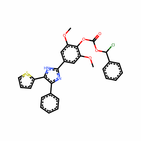 COc1cc(-c2nc(-c3ccccc3)c(-c3cccs3)[nH]2)cc(OC)c1OC(=O)OC(Cl)c1ccccc1